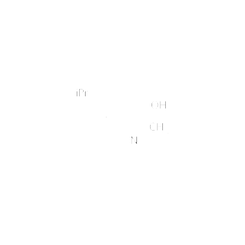 CC(C)C1(CO)CCCN1C